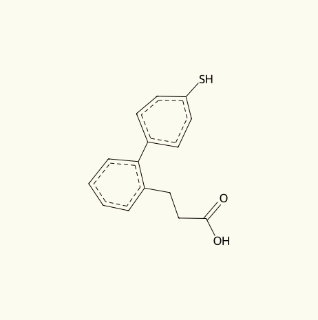 O=C(O)CCc1ccccc1-c1ccc(S)cc1